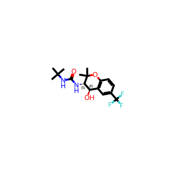 CC(C)(C)NC(=O)N[C@H]1[C@H](O)c2cc(C(F)(F)F)ccc2OC1(C)C